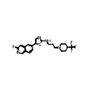 Fc1cc2cc(-c3cnc(NCCCN4CCC(C(F)(F)F)CC4)s3)ccc2cn1